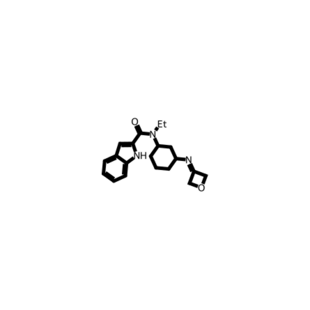 CCN(C(=O)c1cc2ccccc2[nH]1)C1CCCC(N=C2COC2)C1